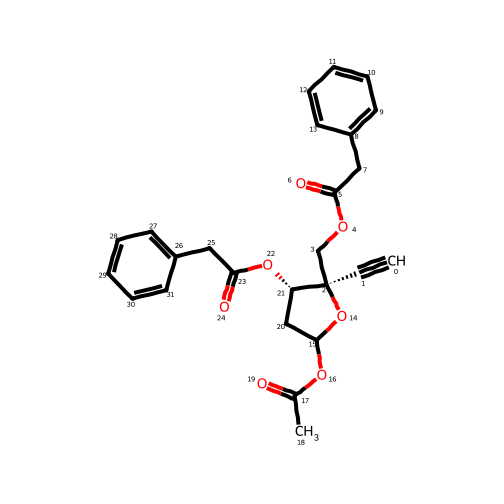 C#C[C@]1(COC(=O)Cc2ccccc2)OC(OC(C)=O)C[C@@H]1OC(=O)Cc1ccccc1